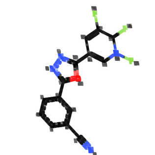 N#Cc1cccc(-c2nnc(C3=CN(F)C(F)C(F)=C3)o2)c1